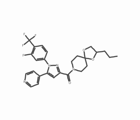 CCCC1COC2(CCN(C(=O)c3cc(-c4ccncc4)n(-c4ccc(C(F)(F)F)c(F)c4)n3)CC2)O1